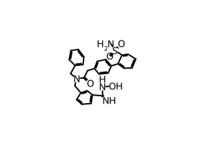 N=C(NO)c1cccc(CN(Cc2ccccc2)C(=O)Cc2ccc(-c3ccccc3S(N)(=O)=O)cc2)c1